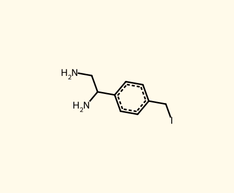 NCC(N)c1ccc(CI)cc1